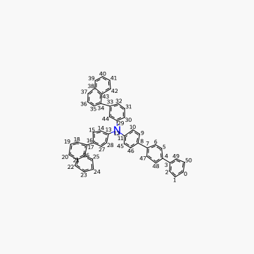 c1ccc(-c2ccc(-c3ccc(N(c4ccc(-c5cccc6ccccc56)cc4)c4cccc(-c5cccc6ccccc56)c4)cc3)cc2)cc1